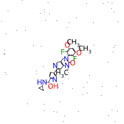 CCN1C(=O)N(c2c(F)c(OC)cc(OC)c2F)Cc2cnc(-c3ccc(C(O)NC4CC4)nc3)cc21